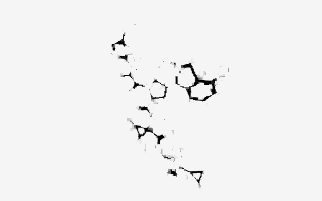 CCc1cnc(NC(C(=O)N2C[C@H](C3c4cccc(Cl)c4CN3C(=O)O)C[C@H]2C(=O)N[C@]2(C(=O)NS(=O)(=O)C3CC3)C[C@H]2CC)C(C)(C)C)s1